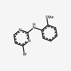 CSc1ccccc1Nc1nccc(Br)n1